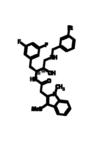 CCc1cccc(CNC[C@@H](O)[C@H](Cc2cc(F)cc(F)c2)NC(=O)Cc2c(SC)c3ccccc3n2C)c1